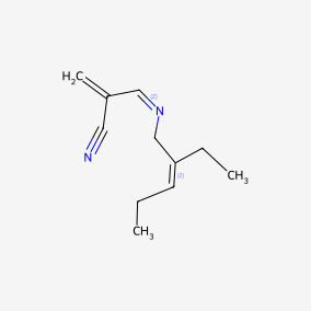 C=C(C#N)/C=N\C/C(=C\CC)CC